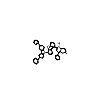 C[C@@H]1C=CC2NC(c3cccc4oc5c(-n6c7ccc(-c8ccccc8)cc7c7cc(-c8ccccc8)ccc76)cccc5c34)=CC(c3ccccc3)=C2C1